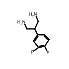 NCC(CN)c1ccc(F)c(F)c1